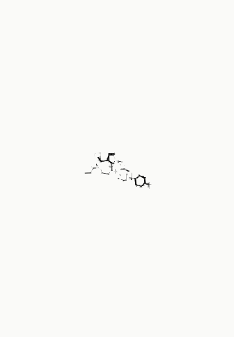 CCCN1CCC(N2CCN(c3ccc(F)cc3)CC2)c2c(ccn2C)C1=O